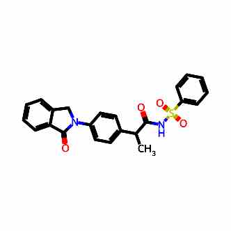 CC(C(=O)NS(=O)(=O)c1ccccc1)c1ccc(N2Cc3ccccc3C2=O)cc1